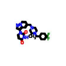 C[C@H]1CN(Cc2ccn3ncc(-n4ccc(=O)[nH]c4=O)c3c2)CCN1CC1CCC(F)(F)CC1